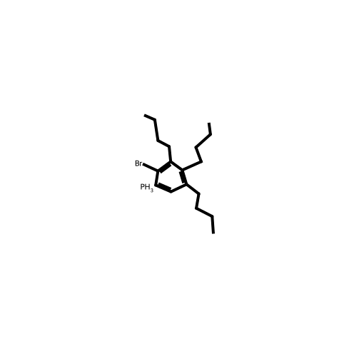 CCCCc1ccc(Br)c(CCCC)c1CCCC.P